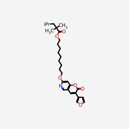 CC(C)CC(C)(C)C(=O)OCCCCCCCCCOc1cc2oc(=O)c(-c3ccoc3)cc2cn1